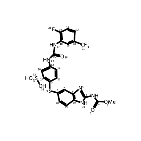 COC(=O)Nc1nc2cc(Sc3ccc(NC(=O)Nc4cc(C(F)(F)F)ccc4F)cc3)ccc2[nH]1.O=S(=O)(O)O